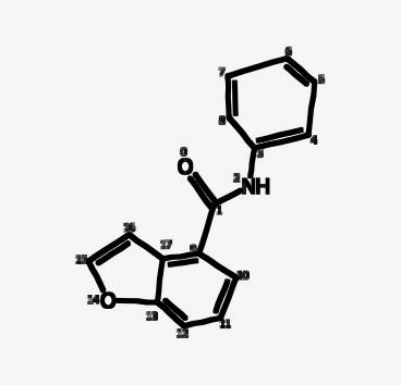 O=C(Nc1ccccc1)c1cccc2occc12